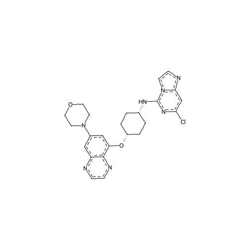 Clc1cc2nccn2c(N[C@H]2CC[C@@H](Oc3cc(N4CCOCC4)cc4nccnc34)CC2)n1